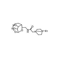 CC[N+]12CC[N+](CC(=O)NCC3OC4OCCCCC3C(O)C4O)(CC1)CC2